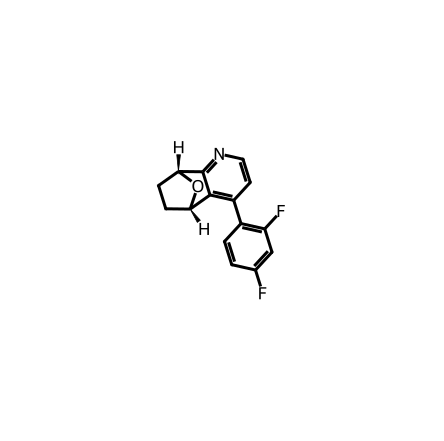 Fc1ccc(-c2ccnc3c2[C@@H]2CC[C@H]3O2)c(F)c1